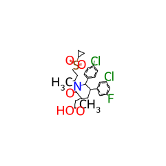 CC(CCS(=O)(=O)C1CC1)N1C(=O)C(C)(CC(=O)O)CC(c2cc(F)cc(Cl)c2)C1c1ccc(Cl)cc1